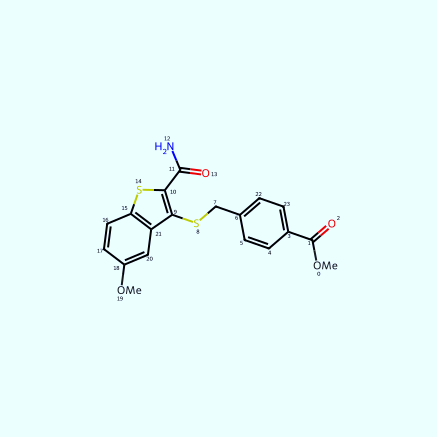 COC(=O)c1ccc(CSc2c(C(N)=O)sc3ccc(OC)cc23)cc1